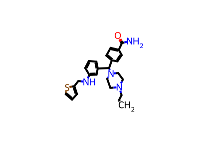 C=CCN1CCN(C(c2ccc(C(N)=O)cc2)c2cccc(NCc3cccs3)c2)CC1